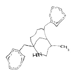 CC1CNC2(Cc3ccccc3)CCC(c3ccccc3)C1C2